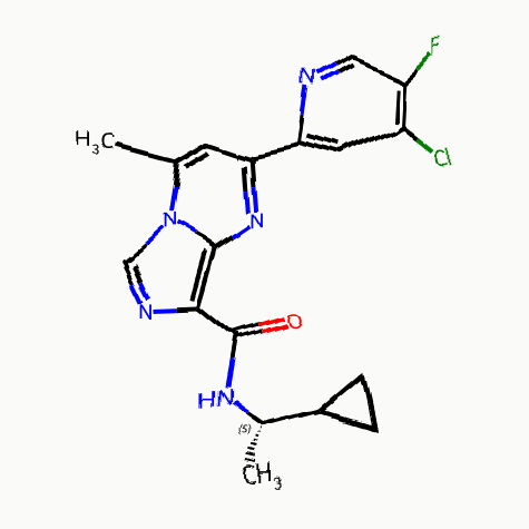 Cc1cc(-c2cc(Cl)c(F)cn2)nc2c(C(=O)N[C@@H](C)C3CC3)ncn12